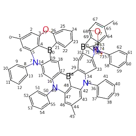 Cc1cc2c3c(c1)N(c1ccccc1)c1cc4c(cc1B3c1ccccc1O2)B1c2cc3c(cc2N(c2ccccc2)c2cc(C)cc(c21)N4c1ccccc1)N(c1ccccc1)c1cc(C)cc2c1B3c1ccccc1O2